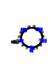 CCCCN1CCNCCNCCNCCNCC1